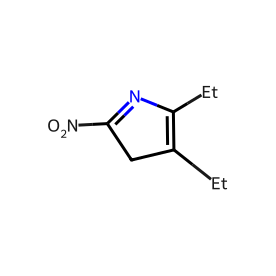 CCC1=C(CC)N=C([N+](=O)[O-])C1